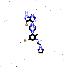 Cc1c(NCCN2CCCC2)cc(Br)cc1N1CCN(c2ncnc3[nH]nc(Br)c23)CC1